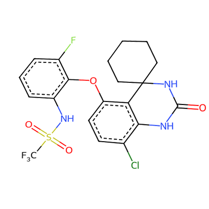 O=C1Nc2c(Cl)ccc(Oc3c(F)cccc3NS(=O)(=O)C(F)(F)F)c2C2(CCCCC2)N1